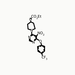 CCOC(=O)OC1CCN(c2ncnc(Oc3ccc(C(F)(F)F)cc3)c2[N+](=O)[O-])CC1